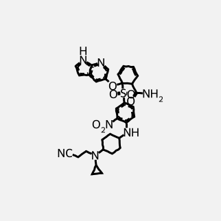 N#CCCN(C1CCC(Nc2ccc(S(=O)(=O)C3(Oc4cnc5[nH]ccc5c4)C=CC=CC3C(N)=O)cc2[N+](=O)[O-])CC1)C1CC1